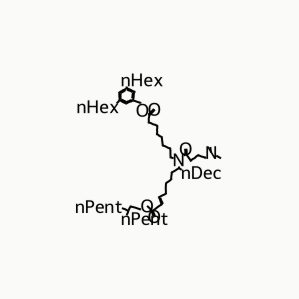 CCCCCCCCCCC(CCCCC=CC(=O)OCCC(CCCCC)CCCCC)N(CCCCCCCC(=O)OCc1cc(CCCCCC)cc(CCCCCC)c1)C(=O)CCCN(C)C